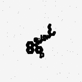 CCCCC(CC)CNCCC/[N+]([O-])=C(\c1ccc(OC)cc1)c1cccc2ccccc12